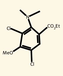 CCOC(=O)c1cc(Cl)c(OC)c(Cl)c1N(C)C